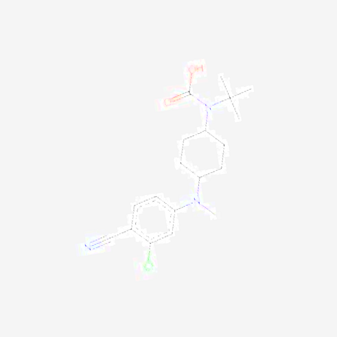 CN(c1ccc(C#N)c(Cl)c1)C1CCC(N(C(=O)O)C(C)(C)C)CC1